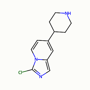 Clc1ncc2cc(C3CCNCC3)ccn12